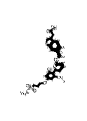 Cc1cc(OCCCS(C)(=O)=O)cc(C)c1-c1cccc(OCc2ccc3c(c2)SCC3CC(=O)O)n1